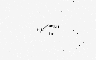 N=CN.[La]